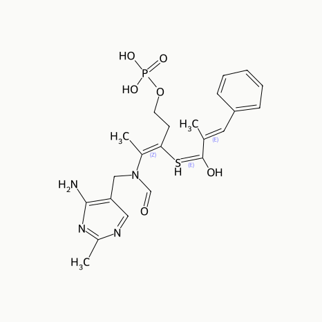 C/C(=C(CCOP(=O)(O)O)/[SH]=C(O)\C(C)=C\c1ccccc1)N(C=O)Cc1cnc(C)nc1N